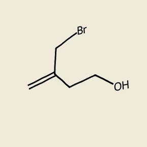 C=C(CBr)CCO